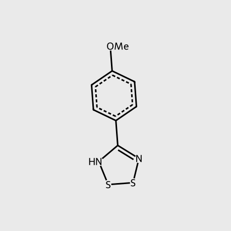 COc1ccc(C2=NSSN2)cc1